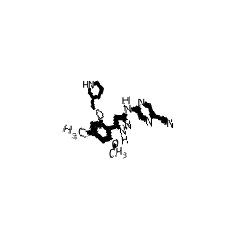 COc1cc(C)cc(OCC2CCCNC2)c1-c1cc(Nc2cnc(C#N)cn2)n[nH]1